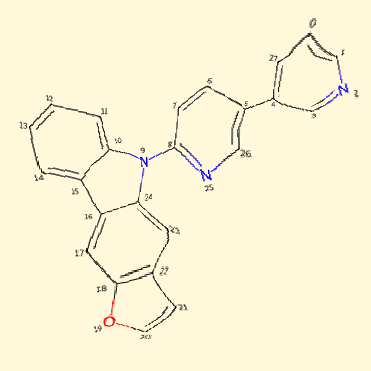 c1cncc(-c2ccc(-n3c4ccccc4c4cc5occc5cc43)nc2)c1